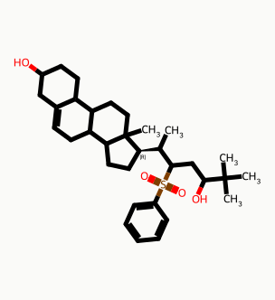 CC(C(CC(O)C(C)(C)C)S(=O)(=O)c1ccccc1)[C@H]1CCC2C3CC=C4CC(O)CCC4C3CCC21C